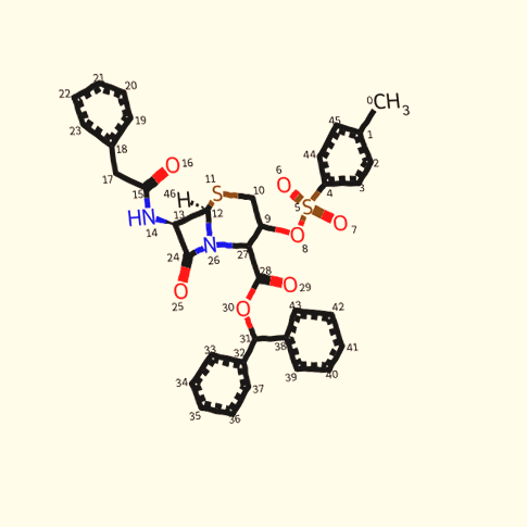 Cc1ccc(S(=O)(=O)OC2CS[C@@H]3[C@H](NC(=O)Cc4ccccc4)C(=O)N3C2C(=O)OC(c2ccccc2)c2ccccc2)cc1